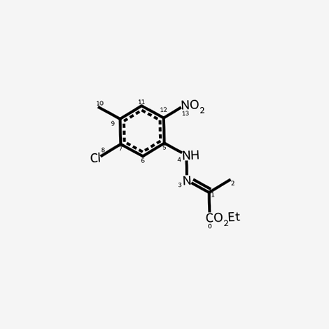 CCOC(=O)C(C)=NNc1cc(Cl)c(C)cc1[N+](=O)[O-]